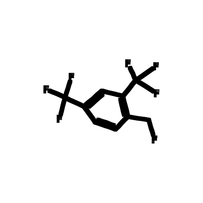 FCc1ccc(C(F)(F)F)cc1C(F)(F)F